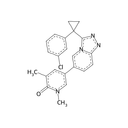 Cc1cc(-c2ccc3nnc(C4(c5cccc(Cl)c5)CC4)n3c2)cn(C)c1=O